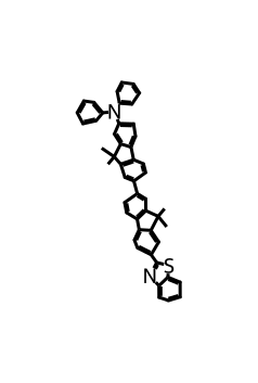 CC1(C)c2cc(-c3ccc4c(c3)C(C)(C)c3cc(N(c5ccccc5)c5ccccc5)ccc3-4)ccc2-c2ccc(-c3nc4ccccc4s3)cc21